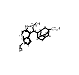 N#CCn1ccc2c3c(cnc21)NN(O)C3C1C2CC3CC1CC(C(=O)O)(C3)C2